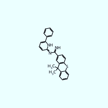 CC1(C)c2ccccc2Sc2ccc(C(=N)/N=c3/cccc(-c4ccccc4)[nH]3)cc21